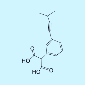 CC(C)C#Cc1cccc(C(C(=O)O)C(=O)O)c1